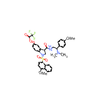 COc1ccc(C(CNC(=O)C2CN(S(=O)(=O)c3ccc(OC)c4ccccc34)c3ccccc32)N(C)C)cc1.O=C(O)C(F)(F)F